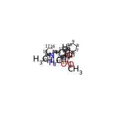 COC(=O)C1=C[C@@]23CCCC[C@H]2[C@@H]2C[C@H]([C@H]4CCC[C@@H](C)N4)C(C)(O3)[C@H]12